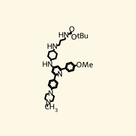 COc1ccc(-c2cc(NC3CCC(NCCCNC(=O)OC(C)(C)C)CC3)cc(-c3ccc(N4CCN(C)CC4)cc3)n2)cc1